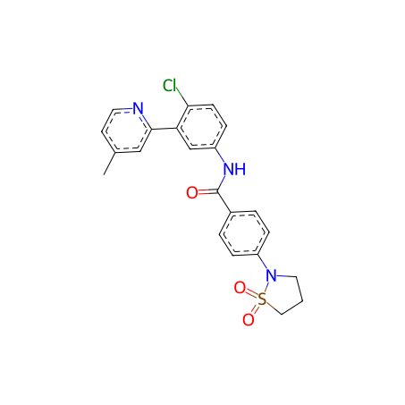 Cc1ccnc(-c2cc(NC(=O)c3ccc(N4CCCS4(=O)=O)cc3)ccc2Cl)c1